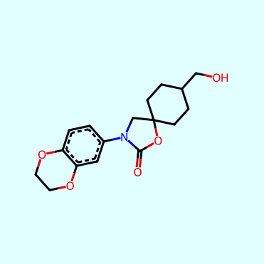 O=C1OC2(CCC(CO)CC2)CN1c1ccc2c(c1)OCCO2